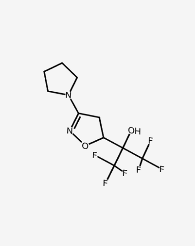 OC(C1CC(N2CCCC2)=NO1)(C(F)(F)F)C(F)(F)F